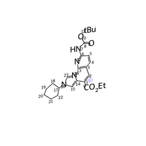 CCOC(=O)/C(=C/c1ccc(NC(=O)OC(C)(C)C)nc1)c1cn(C2CCCCC2)cn1